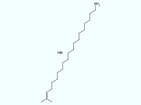 Br.CC(C)=CCCCCCCCCCCCCCCCCCN